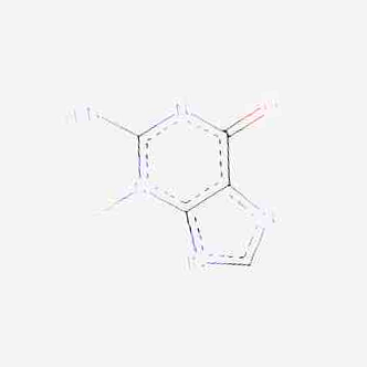 Nc1nc(=O)c2nc[nH]c2n1F